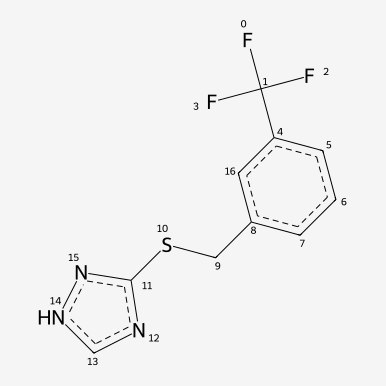 FC(F)(F)c1cccc(CSc2nc[nH]n2)c1